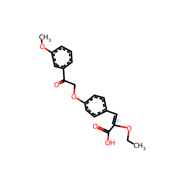 CCO/C(=C/c1ccc(OCC(=O)c2cccc(OC)c2)cc1)C(=O)O